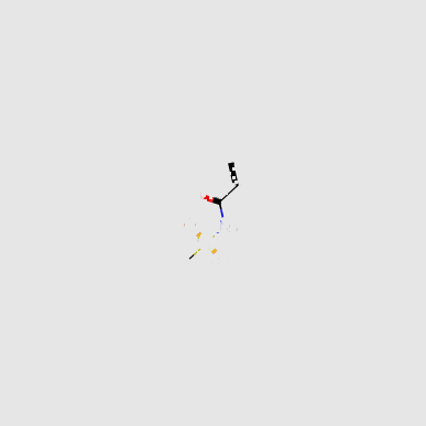 C=CC(=O)[N]S(C)(=O)=O